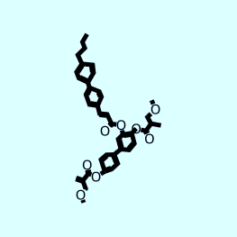 C=C(COC)C(=O)Oc1ccc(-c2ccc(OC(=O)C(C)COC)c(OC(=O)/C=C/c3ccc(-c4ccc(CCCC)cc4)cc3)c2)cc1